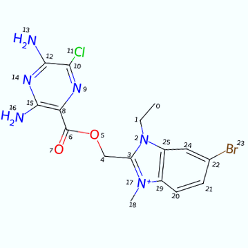 CCn1c(COC(=O)c2nc(Cl)c(N)nc2N)[n+](C)c2ccc(Br)cc21